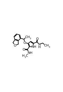 CCNC(=O)c1cc(OC(C)c2cccc3c2COC3)c(C(=O)NC)[nH]1